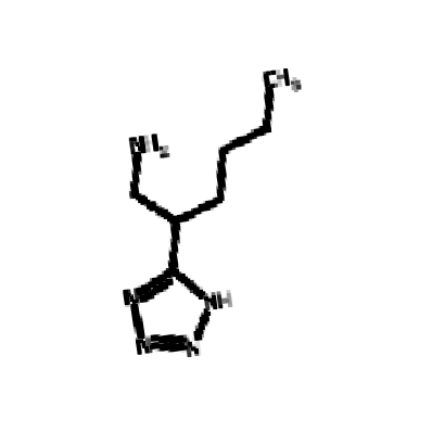 CCCCC(CN)c1nnn[nH]1